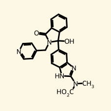 CN(C(=O)O)c1nc2cc(C3(O)c4ccccc4C(=O)N3Cc3ccncc3)ccc2[nH]1